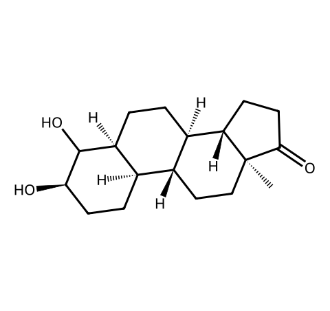 C[C@]12CC[C@@H]3[C@H]4CC[C@@H](O)C(O)[C@H]4CC[C@H]3[C@@H]1CCC2=O